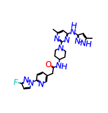 Cc1cc(Nc2cc(C)[nH]n2)nc(N2CCC(NC(=O)Cc3ccc(-n4ccc(F)n4)nc3)CC2)n1